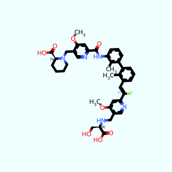 COc1cc(/C(F)=C/c2cccc(-c3cccc(NC(=O)c4cc(OC)c(CN5CCCC[C@H]5C(=O)O)cn4)c3C)c2C)ncc1CN[C@H](CO)C(=O)O